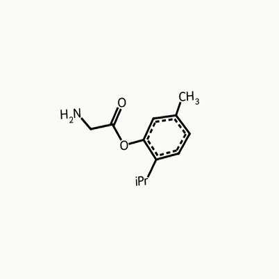 Cc1ccc(C(C)C)c(OC(=O)CN)c1